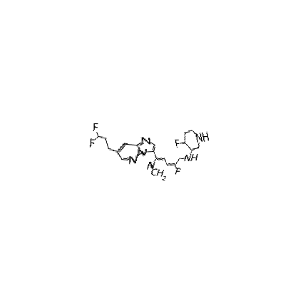 C=N/C(=C\C=C(\F)CNC1CNCCC1F)c1cnc2cc(CCC(F)F)cnn12